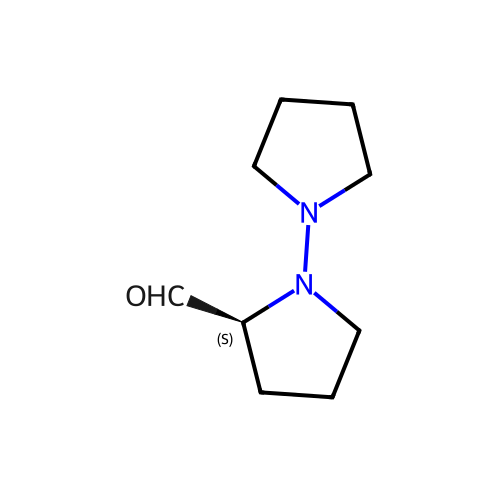 O=C[C@@H]1CCCN1N1CCCC1